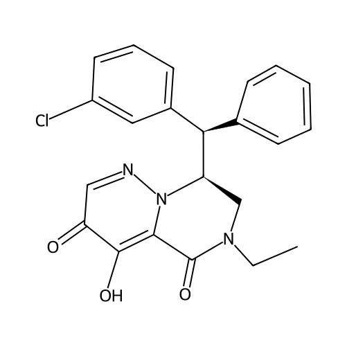 CCN1C[C@H]([C@H](c2ccccc2)c2cccc(Cl)c2)n2ncc(=O)c(O)c2C1=O